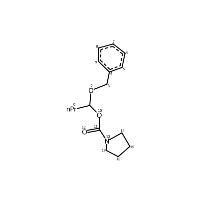 CCCC(OCc1ccccc1)OC(=O)N1CCCC1